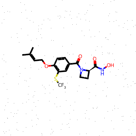 CC(C)=CCOc1ccc(C(=O)N2CC[C@@H]2C(=O)NO)cc1SC(F)(F)F